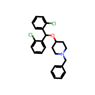 Clc1ccccc1C(OC1CCN(Cc2ccccc2)CC1)c1ccccc1Cl